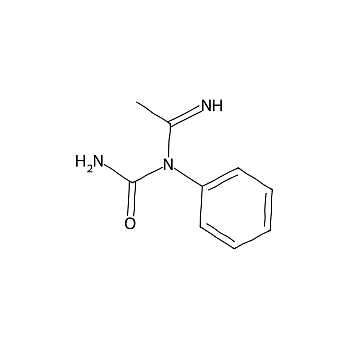 CC(=N)N(C(N)=O)c1ccccc1